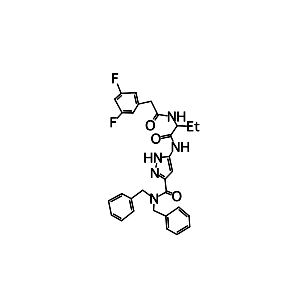 CCC(NC(=O)Cc1cc(F)cc(F)c1)C(=O)Nc1cc(C(=O)N(Cc2ccccc2)Cc2ccccc2)n[nH]1